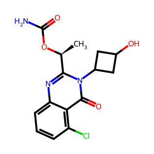 C[C@H](OC(N)=O)c1nc2cccc(Cl)c2c(=O)n1C1CC(O)C1